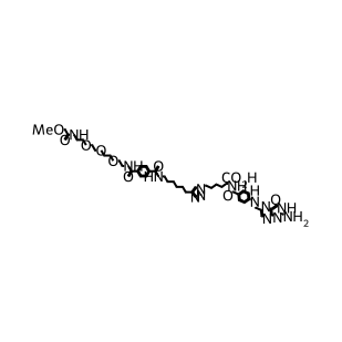 COCC(=O)NCCOCCOCCOCCNC(=O)c1ccc(C(=O)NCCCCCCc2cn(CCCC[C@H](NC(=O)c3ccc(NCc4cnc5nc(N)[nH]c(=O)c5n4)cc3)C(=O)O)nn2)cc1